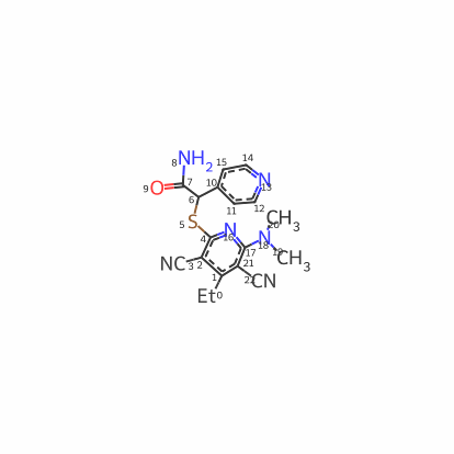 CCc1c(C#N)c(SC(C(N)=O)c2ccncc2)nc(N(C)C)c1C#N